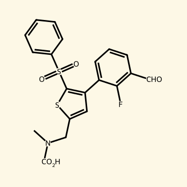 CN(Cc1cc(-c2cccc(C=O)c2F)c(S(=O)(=O)c2ccccc2)s1)C(=O)O